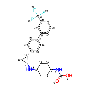 O=C(O)N[C@H]1CC[C@@H](N[C@H]2C[C@@H]2c2ccc(-c3cccc(C(F)(F)F)c3)cc2)CC1